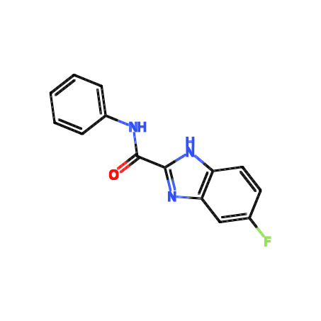 O=C(Nc1ccccc1)c1nc2cc(F)ccc2[nH]1